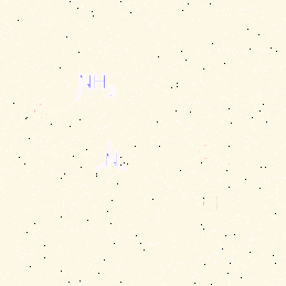 NC(=O)C1CCN(c2ccc(Cl)c(OC3CC3)c2)C1